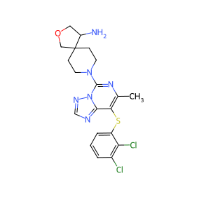 Cc1nc(N2CCC3(CC2)COCC3N)n2ncnc2c1Sc1cccc(Cl)c1Cl